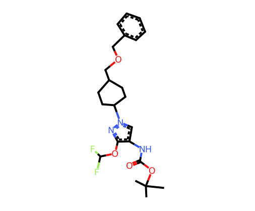 CC(C)(C)OC(=O)Nc1cn(C2CCC(COCc3ccccc3)CC2)nc1OC(F)F